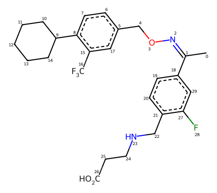 CC(=NOCc1ccc(C2CCCCC2)c(C(F)(F)F)c1)c1ccc(CNCCC(=O)O)c(F)c1